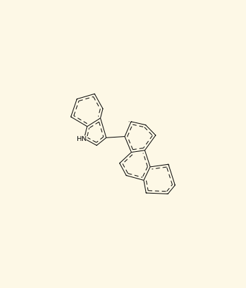 [c]1ccc2c(ccc3ccccc32)c1-c1c[nH]c2ccccc12